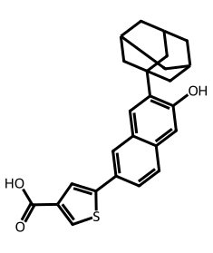 O=C(O)c1csc(-c2ccc3cc(O)c(C45CC6CC(CC(C6)C4)C5)cc3c2)c1